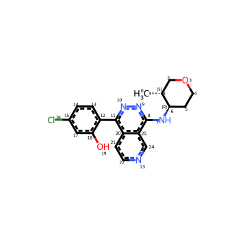 C[C@@H]1COCC[C@H]1Nc1nnc(-c2ccc(Cl)cc2O)c2ccncc12